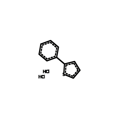 Cl.Cl.c1ccc(-c2cccs2)cc1